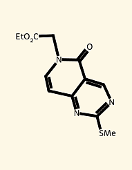 CCOC(=O)Cn1ccc2nc(SC)ncc2c1=O